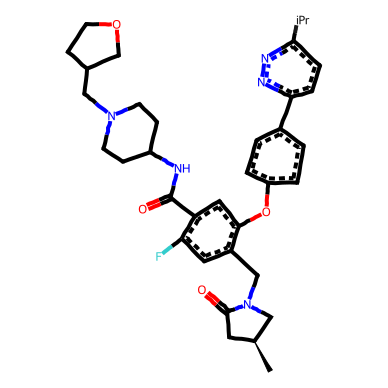 CC(C)c1ccc(-c2ccc(Oc3cc(C(=O)NC4CCN(CC5CCOC5)CC4)c(F)cc3CN3C[C@@H](C)CC3=O)cc2)nn1